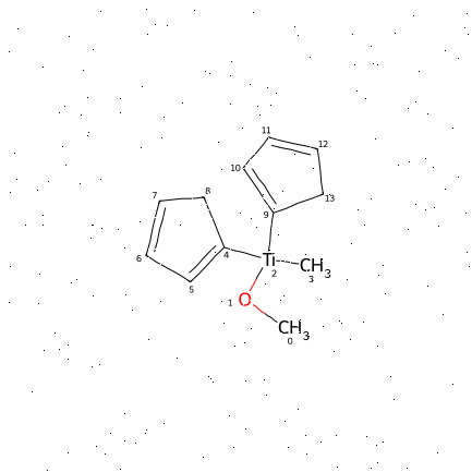 C[O][Ti]([CH3])([C]1=CC=CC1)[C]1=CC=CC1